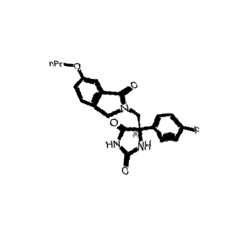 CCCOc1ccc2c(c1)C(=O)N(C[C@@]1(c3ccc(F)cc3)NC(=O)NC1=O)C2